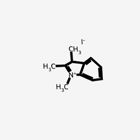 CC1=[N+](C)c2ccccc2C1C.[I-]